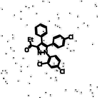 CCC(=O)c1nn(-c2ccc(Cl)cc2Cl)c(-c2ccc(Cl)cc2)c1-c1ccccc1